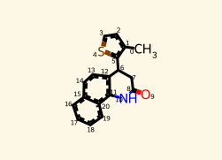 Cc1ccsc1C1CC(=O)Nc2c1ccc1ccccc21